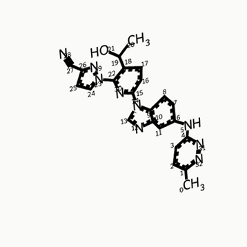 Cc1ccc(Nc2ccc3c(c2)ncn3-c2ccc(C(C)O)c(-n3ccc(C#N)n3)n2)nn1